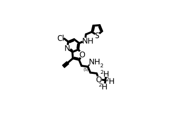 [2H]C([2H])([2H])OCC[C@H](N)Cc1oc2c(NCc3cccs3)cc(Cl)nc2c1C#C